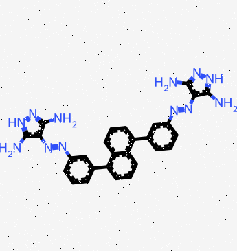 Nc1n[nH]c(N)c1/N=N/c1cccc(-c2cccc3c(-c4cccc(/N=N/c5c(N)n[nH]c5N)c4)cccc23)c1